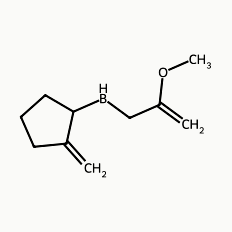 C=C(CBC1CCCC1=C)OC